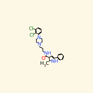 CC1NC(c2ccccc2)=CC1C(=O)NCCCN1CCN(c2cccc(Cl)c2Cl)CC1